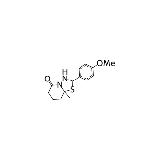 COc1ccc(C2NN3C(=O)CCCC3(C)S2)cc1